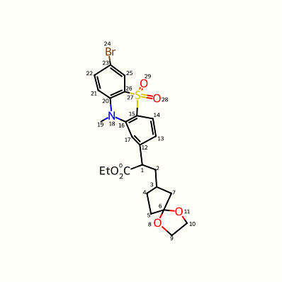 CCOC(=O)C(CC1CCC2(C1)OCCO2)c1ccc2c(c1)N(C)c1ccc(Br)cc1S2(=O)=O